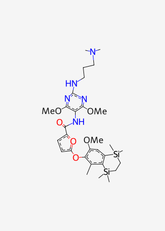 COc1cc2c(c(C)c1Oc1ccc(C(=O)Nc3c(OC)nc(NCCCN(C)C)nc3OC)o1)[Si](C)(C)CC[Si]2(C)C